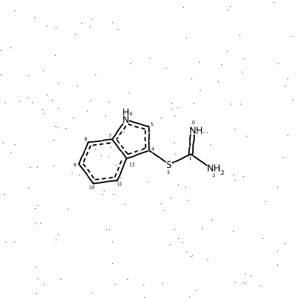 N=C(N)Sc1c[nH]c2ccccc12